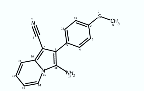 CSc1ccc(-c2c(C#N)c3ccccn3c2N)cc1